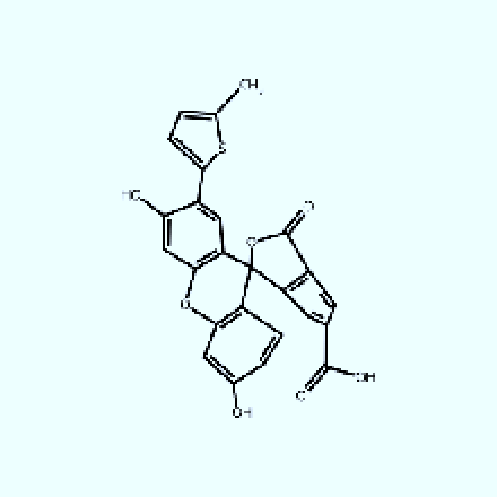 Cc1ccc(-c2cc3c(cc2O)Oc2cc(O)ccc2C32OC(=O)c3ccc(C(=O)O)cc32)s1